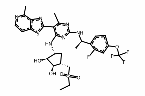 CCS(=O)(=O)C[C@H]1C[C@@H](Nc2nc(N[C@H](C)c3ccc(OC(F)(F)F)cc3F)nc(C)c2-c2nc3c(C)nccc3s2)[C@H](O)[C@@H]1O